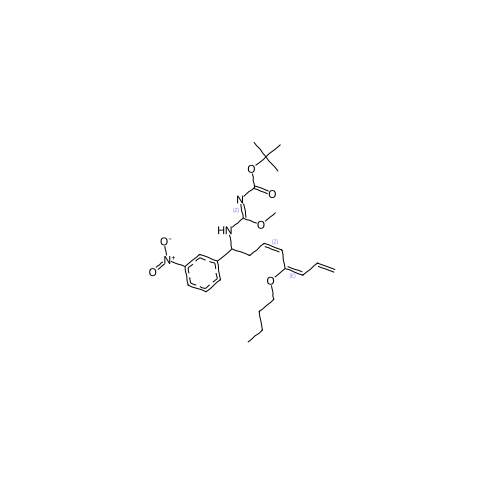 C=C/C=C(\C=C/CC(N/C(=N/C(=O)OC(C)(C)C)OC)c1cccc([N+](=O)[O-])c1)OCCCC